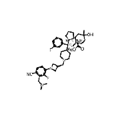 COC(=O)N[C@H]1CCC[C@@H]1[C@](CN1CCC(C)(O)CC1)(c1cccc(F)c1)C1CCN(CC2CN(c3ccc(C#N)c(CN(C)C)c3F)C2)CC1